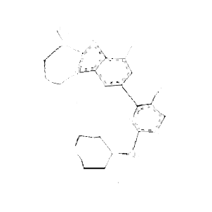 C[C@@H]1CCN(C)c2nc3c(F)cc(-c4nc(N[C@@H]5CCOC[C@H]5O)ncc4Cl)cc3n21